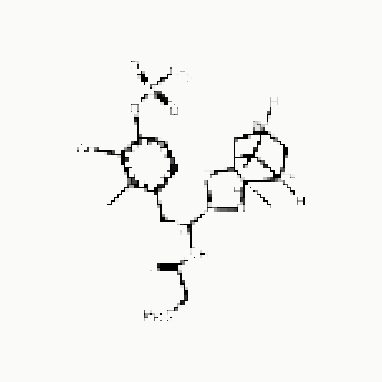 CSCC(=O)N[C@@H](Cc1ccc(OS(=O)(=O)C(F)(F)F)c(C(C)=O)c1C)B1OC2C[C@@H]3C[C@@H](C3(C)C)[C@]2(C)O1